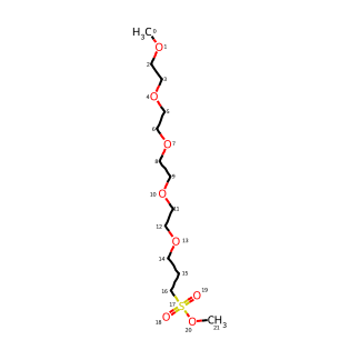 COCCOCCOCCOCCOCCCS(=O)(=O)OC